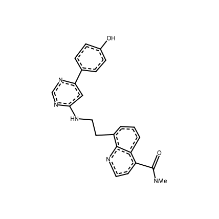 CNC(=O)c1ccnc2c(CCNc3cc(-c4ccc(O)cc4)ncn3)cccc12